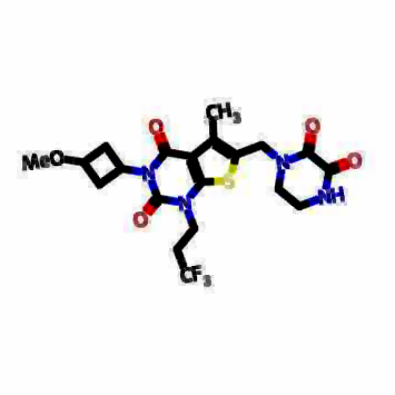 COC1CC(n2c(=O)c3c(C)c(CN4CCNC(=O)C4=O)sc3n(CCC(F)(F)F)c2=O)C1